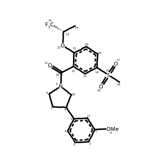 COc1cccc(C2CCN(C(=O)c3cc(S(C)(=O)=O)ccc3O[C@@H](C)C(F)(F)F)C2)c1